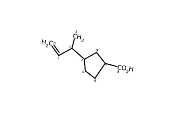 C=CC(C)C1CCC(C(=O)O)C1